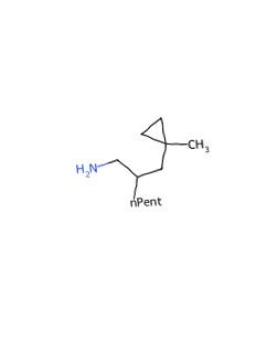 CCCCCC(CN)CC1(C)CC1